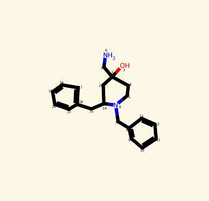 NCC1(O)CCN(Cc2ccccc2)C(Cc2ccccc2)C1